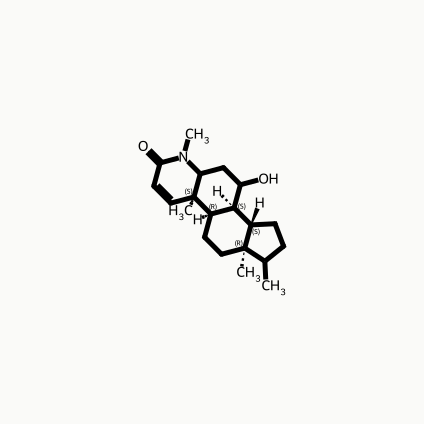 CC1CC[C@H]2[C@@H]3C(O)CC4N(C)C(=O)C=C[C@]4(C)[C@@H]3CC[C@]12C